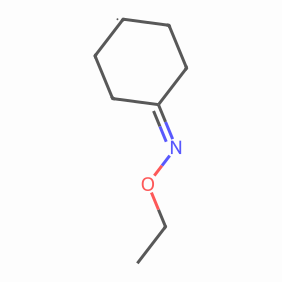 CCON=C1CC[CH]CC1